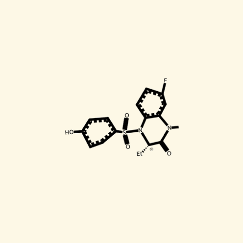 CC[C@H]1C(=O)N(C)c2cc(F)ccc2N1S(=O)(=O)c1ccc(O)cc1